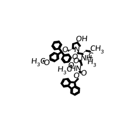 COc1ccc(C(OC[C@@H]2C[C@@H](O)CN2C(=O)[C@H](CC(C)C)NC(=O)CNC(=O)OCC2c3ccccc3-c3ccccc32)(c2ccccc2)c2ccc(OC)cc2)cc1